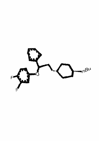 CCCC[C@H]1CC[C@H](CCC(Oc2ccc(F)c(F)c2)c2ccccc2)CC1